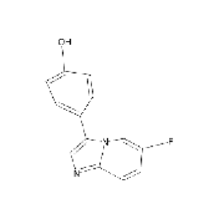 Oc1ccc(-c2cnc3ccc(F)cn23)cc1